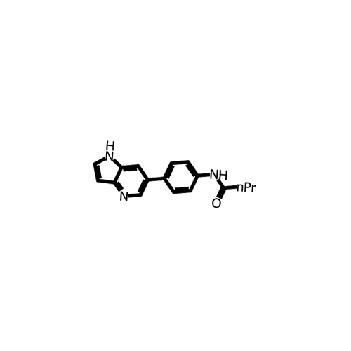 CCCC(=O)Nc1ccc(-c2cnc3cc[nH]c3c2)cc1